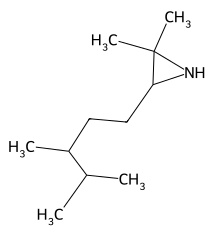 CC(C)C(C)CCC1NC1(C)C